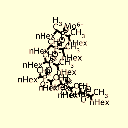 CCCCCCC(C)P(=O)([O-])C(C)CCCCCC.CCCCCCC(C)P(=O)([O-])C(C)CCCCCC.CCCCCCC(C)P(=O)([O-])C(C)CCCCCC.CCCCCCC(C)P(=O)([O-])C(C)CCCCCC.CCCCCCC(C)P(=O)([O-])C(C)CCCCCC.CCCCCCC(C)P(=O)([O-])C(C)CCCCCC.[Mo+6]